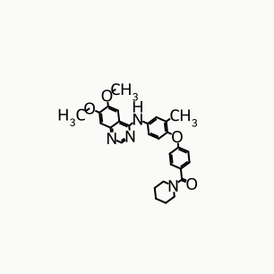 COc1cc2ncnc(Nc3ccc(Oc4ccc(C(=O)N5CCCCC5)cc4)c(C)c3)c2cc1OC